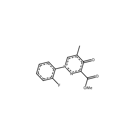 COC(=O)c1nn(-c2ccccc2F)cc(C)c1=O